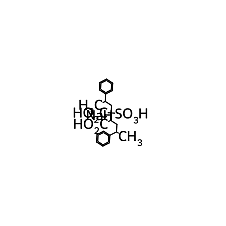 CC(CC(C(=O)O)C(CC(C)c1ccccc1)(C(=O)O)S(=O)(=O)O)c1ccccc1.[NaH]